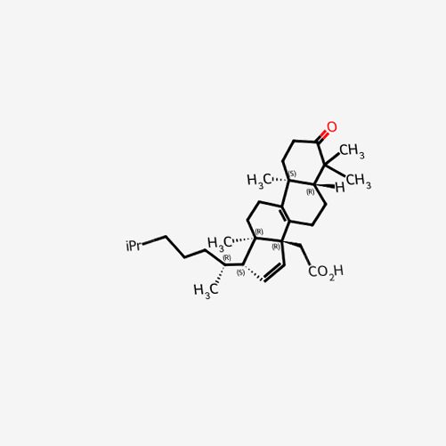 CC(C)CCC[C@@H](C)[C@H]1C=C[C@@]2(CC(=O)O)C3=C(CC[C@]12C)[C@@]1(C)CCC(=O)C(C)(C)[C@@H]1CC3